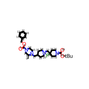 C[C@H]1CN(C(=O)OCc2ccccc2)CCN1CC1CCN(CC2(F)CCN(C(=O)OC(C)(C)C)CC2)CC1